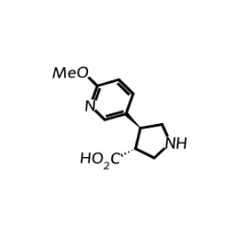 COc1ccc([C@H]2CNC[C@@H]2C(=O)O)cn1